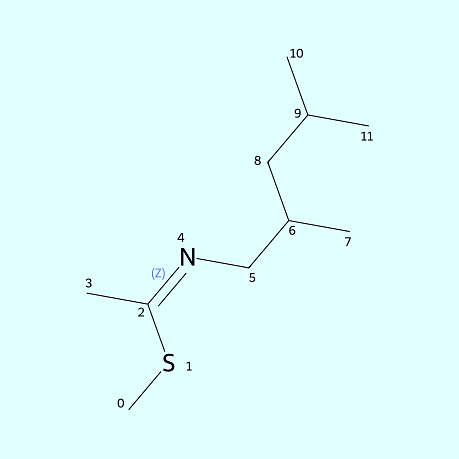 CS/C(C)=N\CC(C)CC(C)C